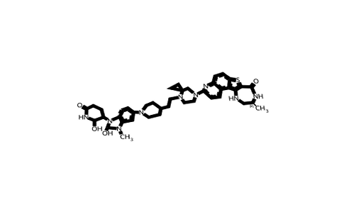 C[C@@H]1CNc2c(sc3ccc4nc(N5CCN(CCC6CCN(c7ccc8c(c7)N(C)C(O)N8C7CCC(=O)NC7O)CC6)C6(CC6)C5)ccc4c23)C(=O)N1